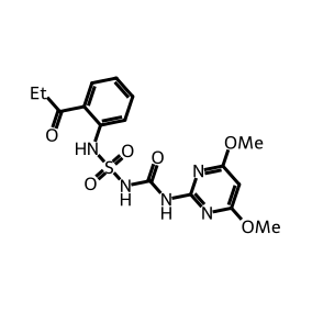 CCC(=O)c1ccccc1NS(=O)(=O)NC(=O)Nc1nc(OC)cc(OC)n1